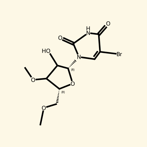 COC[C@H]1O[C@@H](n2cc(Br)c(=O)[nH]c2=O)C(O)C1OC